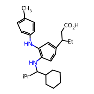 CCC(CC(=O)O)c1ccc(NC(C(C)C)C2CCCCC2)c(Nc2ccc(C)cc2)c1